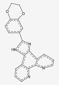 c1cnc2c(c1)c1nc(-c3ccc4c(c3)OCCO4)[nH]c1c1cccnc12